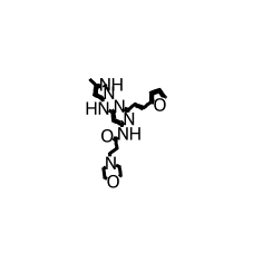 Cc1cc(Nc2cc(NC(=O)CCN3CCOCC3)nc(/C=C/c3ccco3)n2)n[nH]1